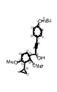 CCCCOc1ccc(C#CC(O)c2ccc(OC)c(C3CC3)c2OC)cc1